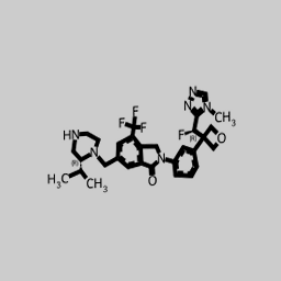 CC(C)[C@@H]1CNCCN1Cc1cc2c(c(C(F)(F)F)c1)CN(c1cccc(C3([C@@H](F)c4nncn4C)COC3)c1)C2=O